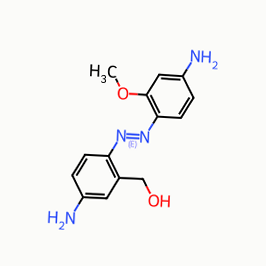 COc1cc(N)ccc1/N=N/c1ccc(N)cc1CO